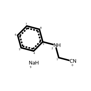 N#CCNc1ccccc1.[NaH]